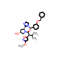 COc1cc(C(C(=O)N2C[C@H](O)C[C@H]2c2nccn2Cc2cccc(OCc3ccccc3)c2)C(C)C)on1